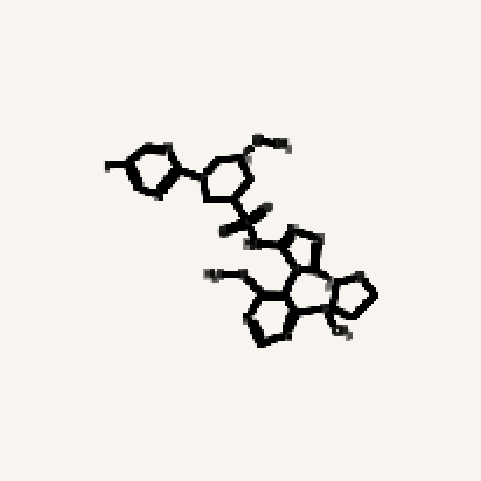 COc1ncnc(OC)c1-n1c(NS(=O)(=O)C2C[C@@H](OC)CN(c3ncc(F)cn3)C2)nnc1[C@H]1CCCO1